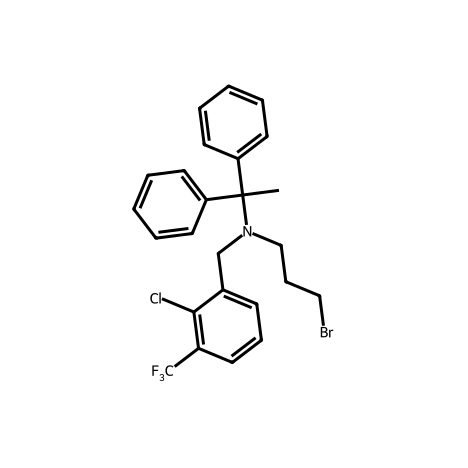 CC(c1ccccc1)(c1ccccc1)N(CCCBr)Cc1cccc(C(F)(F)F)c1Cl